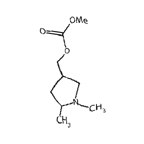 COC(=O)OCC1CC(C)N(C)C1